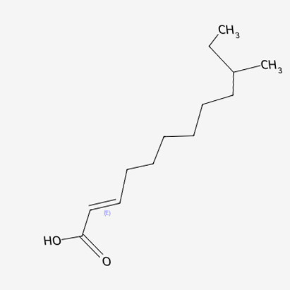 CCC(C)CCCCCC/C=C/C(=O)O